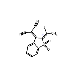 C/C(I)=C1/C(=C(C#N)C#N)c2ccccc2S1(=O)=O